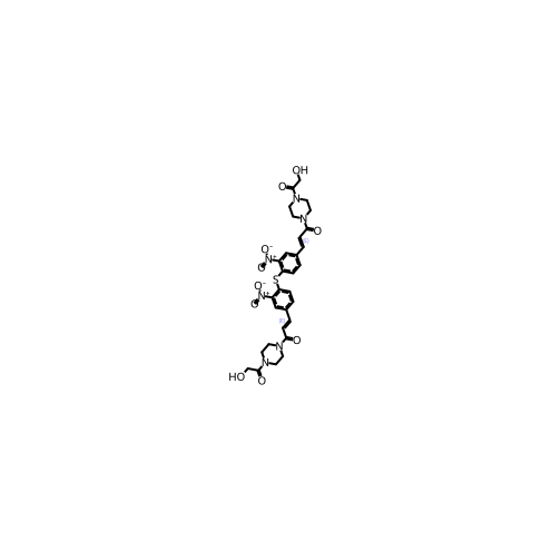 O=C(/C=C/c1ccc(Sc2ccc(/C=C/C(=O)N3CCN(C(=O)CO)CC3)cc2[N+](=O)[O-])c([N+](=O)[O-])c1)N1CCN(C(=O)CO)CC1